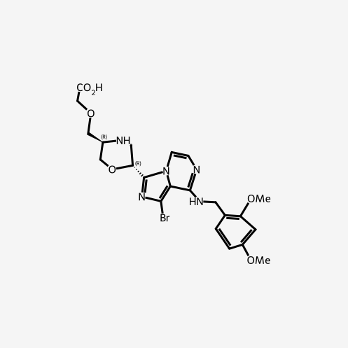 COc1ccc(CNc2nccn3c([C@H]4CN[C@H](COCC(=O)O)CO4)nc(Br)c23)c(OC)c1